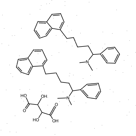 CN(C)C(CCCCc1cccc2ccccc12)c1ccccc1.CN(C)C(CCCCc1cccc2ccccc12)c1ccccc1.O=C(O)C(O)C(O)C(=O)O